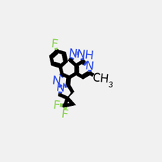 Cc1cc(-c2c(-c3ccc(F)cc3)nn3c2C[C@@]2(C3)CC2(F)F)c2cn[nH]c2n1